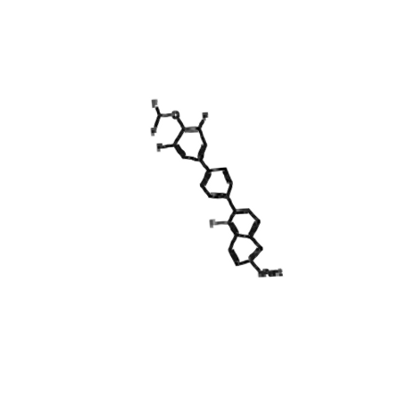 CCCCCc1ccc2c(F)c(-c3ccc(-c4cc(F)c(OC(F)F)c(F)c4)cc3)ccc2c1